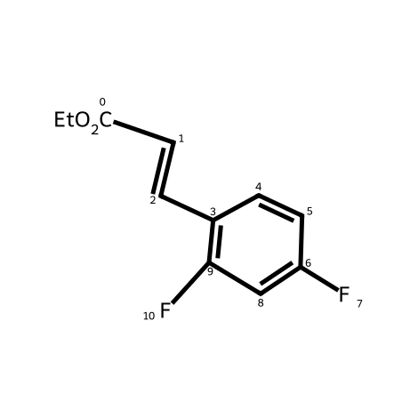 CCOC(=O)C=Cc1ccc(F)cc1F